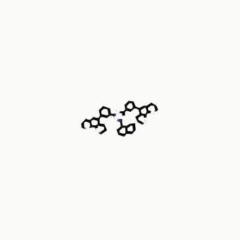 C=C(/N=C(\N=C(/C)c1cccc2ccccc12)c1cccc(C2=CC3=CC=CNC3c3ncccc32)c1)c1cccc(-c2cc3cccnc3c3ncccc23)c1